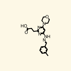 Cc1cccc(/C=N/Nc2cc(N3CCOCC3)nc(CCC(=O)O)n2)c1